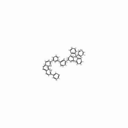 c1ccc(-c2ccc3ccc4ccc(-c5cccc(-c6cccc(-c7ccc8c(c7)-c7ccccc7C8(c7ccccc7)c7cccnc7)c6)c5)nc4c3n2)cc1